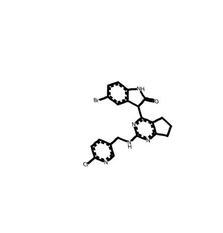 O=C1Nc2ccc(Br)cc2C1c1nc(NCc2ccc(Cl)nc2)nc2c1CCC2